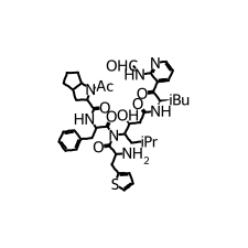 CC[C@H](C)[C@H](NC(=O)C[C@H](O)C(CC(C)C)N(C(=O)C(N)Cc1cccs1)C(=O)C(Cc1ccccc1)NC(=O)C1CC2CCCC2N1C(C)=O)C(=O)c1cccnc1NC=O